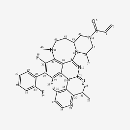 C=CC(=O)N1CC(C)N2c3nc(=O)n(-c4c(C)ccnc4C(C)C)c4c(F)c(-c5ccccc5F)c(F)c(c34)N(C)CCC2C1